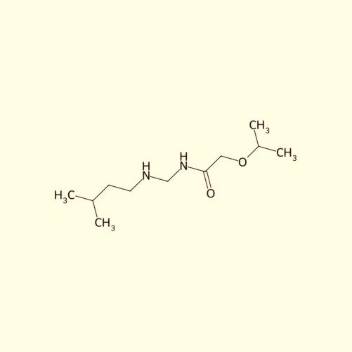 CC(C)CCNCNC(=O)COC(C)C